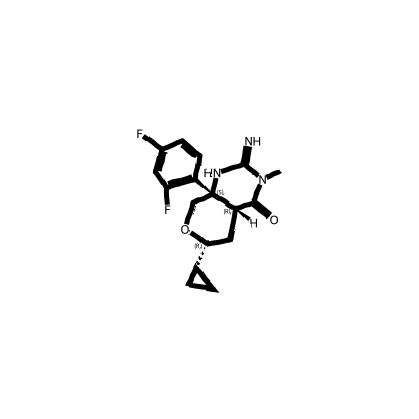 CN1C(=N)N[C@@]2(c3ccc(F)cc3F)CO[C@@H](C3CC3)C[C@H]2C1=O